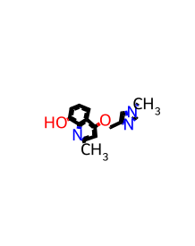 Cc1cc(OCc2cn(C)cn2)c2cccc(O)c2n1